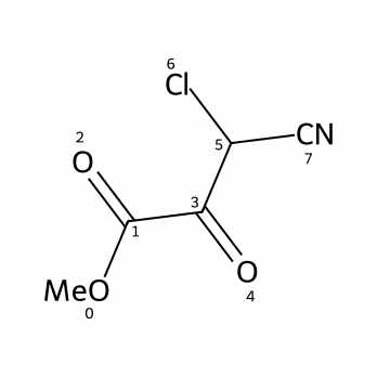 COC(=O)C(=O)C(Cl)C#N